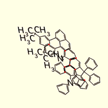 CC(C)(C)c1cc(-c2cccc3cccc(-c4ccccc4N(c4ccccc4-c4ccc5c(c4)c4ccccc4n5-c4ccccc4)c4ccccc4-c4cccc5c4-c4ccccc4C5(c4ccccc4)c4ccccc4)c23)cc(C(C)(C)C)c1